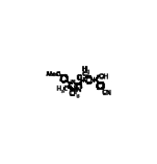 COc1ccc(-c2nc3c(C(=O)N4CCN(C(CO)c5ccc(C#N)cc5)C[C@H]4C)cnn3c(C(F)(F)F)c2C)cc1